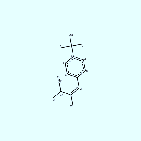 CC(=Cc1ccc(C(C)(C)C)cc1)C(C)Br